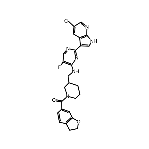 O=C(c1ccc2c(c1)OCC2)N1CCCC(CNc2nc(-c3c[nH]c4ncc(Cl)cc34)ncc2F)C1